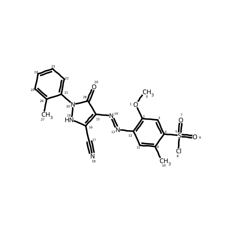 COc1cc(S(=O)(=O)Cl)c(C)cc1N=Nc1c(C#N)[nH]n(-c2ccccc2C)c1=O